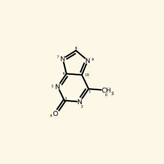 CC1=NC(=O)N=C2N=CN=C12